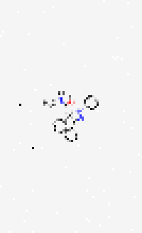 CN(C)C(=O)CC1(c2ccccc2)CN(c2ccccc2)N=C1c1ccccc1